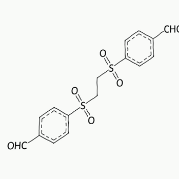 O=Cc1ccc(S(=O)(=O)CCS(=O)(=O)c2ccc(C=O)cc2)cc1